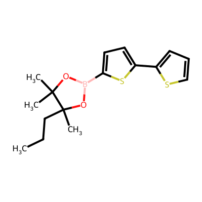 CCCC1(C)OB(c2ccc(-c3cccs3)s2)OC1(C)C